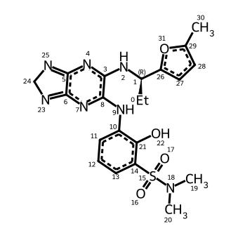 CC[C@@H](Nc1nc2c(nc1Nc1cccc(S(=O)(=O)N(C)C)c1O)=NCN=2)c1ccc(C)o1